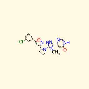 Cn1c(-c2cc(=O)[nH]cn2)nnc1N1CCCC1c1cc(-c2cccc(Cl)c2)on1